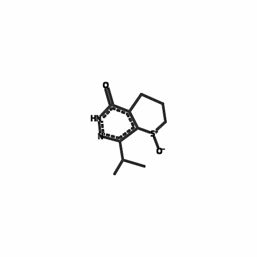 CC(C)c1n[nH]c(=O)c2c1[S+]([O-])CCC2